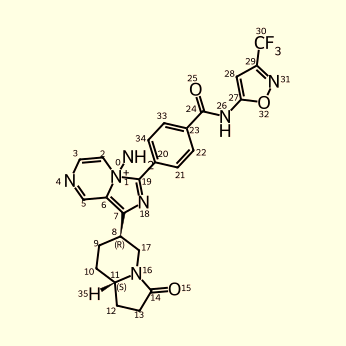 N[N+]12C=CN=CC1=C([C@@H]1CC[C@H]3CCC(=O)N3C1)N=C2c1ccc(C(=O)Nc2cc(C(F)(F)F)no2)cc1